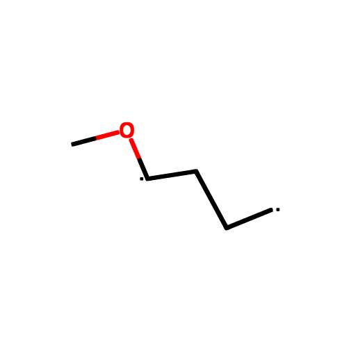 [CH2]CC[CH]OC